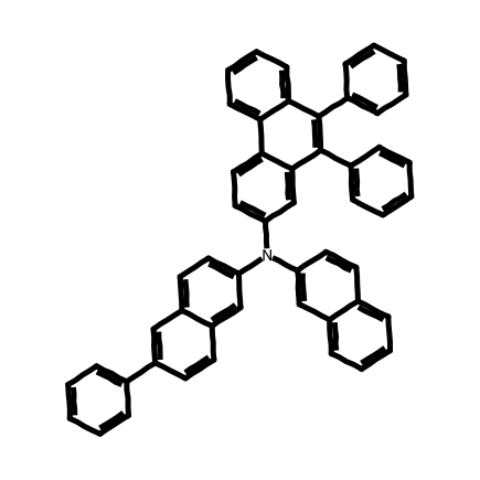 c1ccc(-c2ccc3cc(N(c4ccc5ccccc5c4)c4ccc5c(c4)c(-c4ccccc4)c(-c4ccccc4)c4ccccc45)ccc3c2)cc1